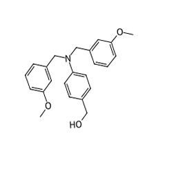 COc1cccc(CN(Cc2cccc(OC)c2)c2ccc(CO)cc2)c1